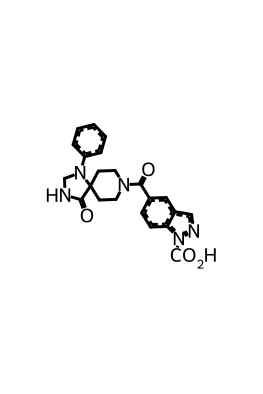 O=C(c1ccc2c(cnn2C(=O)O)c1)N1CCC2(CC1)C(=O)NCN2c1ccccc1